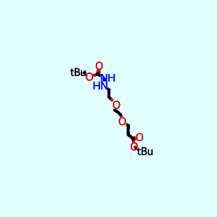 CC(C)(C)OC(=O)CCOCCOCCNNC(=O)OC(C)(C)C